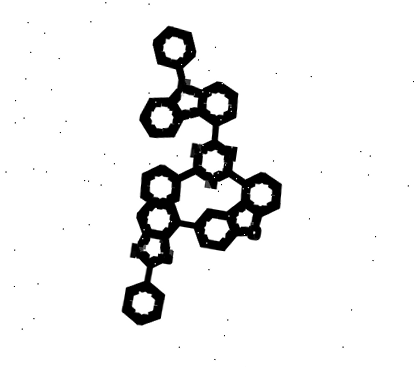 c1ccc(-c2nc(-c3cccc4oc5ccc(-c6cccc7nc(-c8ccccc8)sc67)cc5c34)nc(-c3cccc4c3c3ccccc3n4-c3ccccc3)n2)cc1